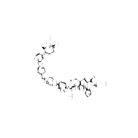 CN(C)C(=O)c1cc2cnc(Nc3ccc(N4CCN(CC5CCN(c6cc(C7CCC(=O)NC7=O)ccn6)CC5)CC4)cn3)nc2n1C1CCCC1